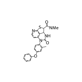 CNC(=O)C1Sc2nccc3c2C1NC(=O)N3c1ccc(Oc2ccccc2)cc1C